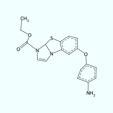 CCOC(=O)N1C=CN2c3cc(Oc4ccc(N)cc4)ccc3SC12